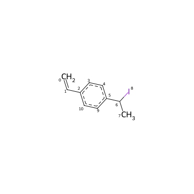 C=Cc1ccc(C(C)I)cc1